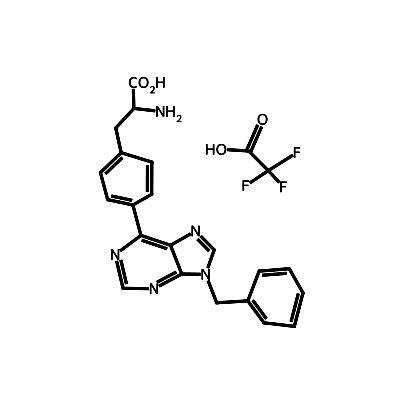 NC(Cc1ccc(-c2ncnc3c2ncn3Cc2ccccc2)cc1)C(=O)O.O=C(O)C(F)(F)F